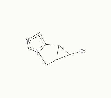 CCC1C2Cn3cncc3C12